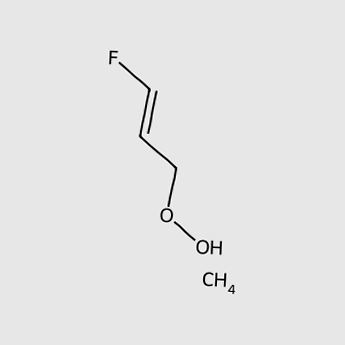 C.OOCC=CF